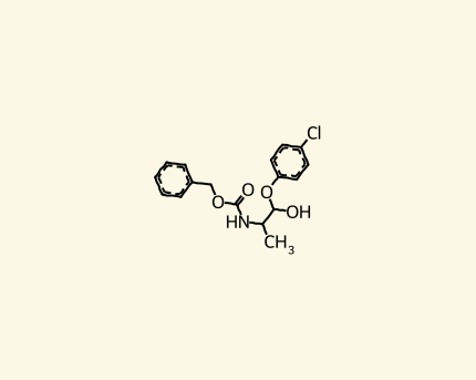 CC(NC(=O)OCc1ccccc1)C(O)Oc1ccc(Cl)cc1